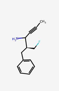 CC#CC(N)[C@@H](CF)Cc1ccccc1